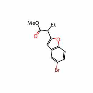 CCC(C(=O)OC)c1cc2cc(Br)ccc2o1